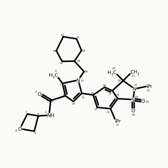 Cc1c(C(=O)NC2COC2)cc(-c2cc(C(C)C)c3c(c2)C(C)(C)N(C(C)C)S3(=O)=O)n1CC1CCCCC1